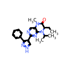 CCC1C(=O)N(C)c2cnc(-c3c[nH]nc3-c3ccccc3)nc2N1C(C)C